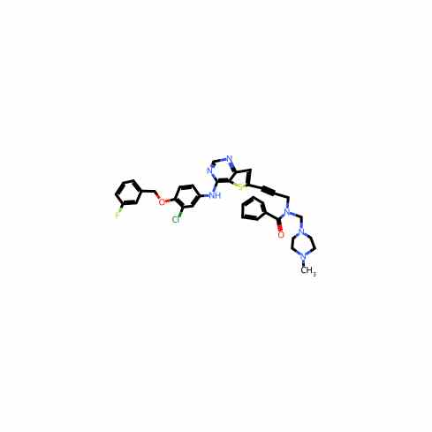 CN1CCN(CN(CC#Cc2cc3ncnc(Nc4ccc(OCc5cccc(F)c5)c(Cl)c4)c3s2)C(=O)c2ccccc2)CC1